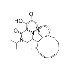 C=C1/C=C\C=C/CCCc2ccccc2C1C1CN(C(C)C)C(=O)c2c(O)c(=O)cnn21